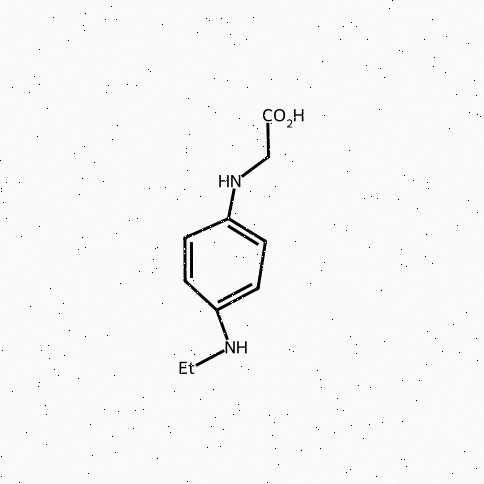 CCNc1ccc(NCC(=O)O)cc1